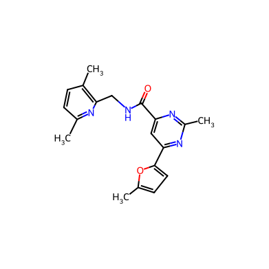 Cc1ccc(C)c(CNC(=O)c2cc(-c3ccc(C)o3)nc(C)n2)n1